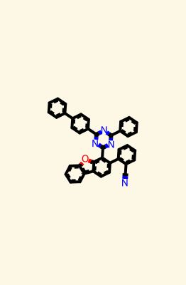 N#Cc1ccccc1-c1ccc2c(oc3ccccc32)c1-c1nc(-c2ccccc2)nc(-c2ccc(-c3ccccc3)cc2)n1